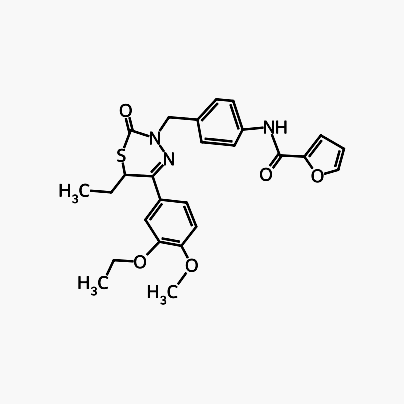 CCOc1cc(C2=NN(Cc3ccc(NC(=O)c4ccco4)cc3)C(=O)SC2CC)ccc1OC